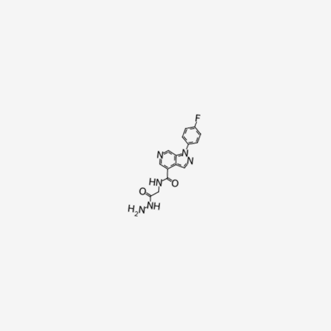 NNC(=O)CNC(=O)c1cncc2c1cnn2-c1ccc(F)cc1